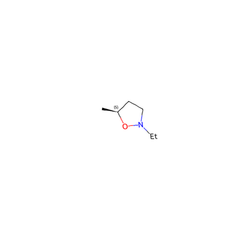 CCN1CC[C@H](C)O1